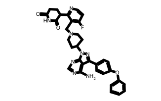 Nc1ncnc2c1c(-c1ccc(Oc3ccccc3)cc1)nn2C1CCN(Cc2c(F)ccnc2C2CCC(=O)NC2=O)CC1